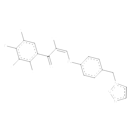 O=CC(=CNc1ccc(Cn2ccnn2)cc1)C(=O)c1cc(F)c(F)c(F)c1F